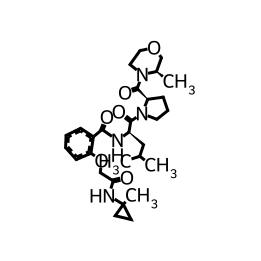 CC(C)C[C@@H](NC(=O)c1ccccc1OCC(=O)NC1(C)CC1)C(=O)N1CCC[C@@H]1C(=O)N1CCOC[C@H]1C